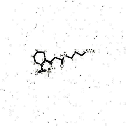 CSCCCNC(=O)Cc1n[nH]c(=O)c2c1CCCC2